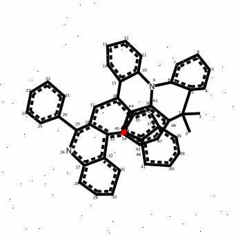 CC1(C)c2ccccc2N(c2ccccc2-c2cc3c(-c4ccccc4)nc4ccccc4c3c3c2oc2ccccc23)c2ccccc21